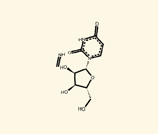 C=N.O=c1ccn([C@@H]2O[C@H](CO)[C@@H](O)[C@H]2O)c(=O)[nH]1